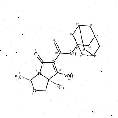 C[C@]12CO[C@H](C(F)(F)F)N1C(=O)C(C(=O)NC13CC4CC(CC(C4)C1)C3)=C2O